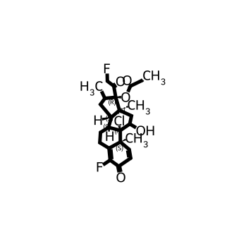 CCC(=O)O[C@]1(C(=O)CF)C(C)C[C@H]2[C@@H]3CCC4=C(F)C(=O)C=C[C@]4(C)[C@@]3(Cl)C(O)C[C@@]21C